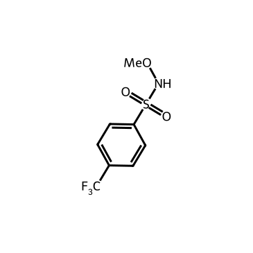 CONS(=O)(=O)c1ccc(C(F)(F)F)cc1